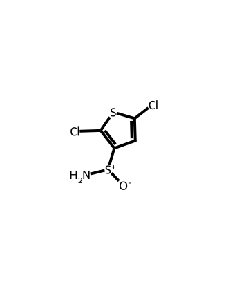 N[S+]([O-])c1cc(Cl)sc1Cl